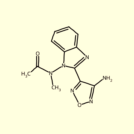 CC(=O)N(C)n1c(-c2nonc2N)nc2ccccc21